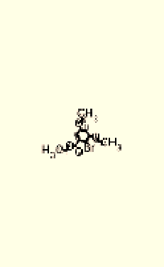 CCOC(=O)c1cc(OCC)cc(OCC)c1Br